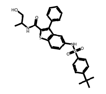 CC(CO)NC(=O)c1sc2ccc(NS(=O)(=O)c3ccc(C(C)(C)C)cc3)cc2c1-c1ccccc1